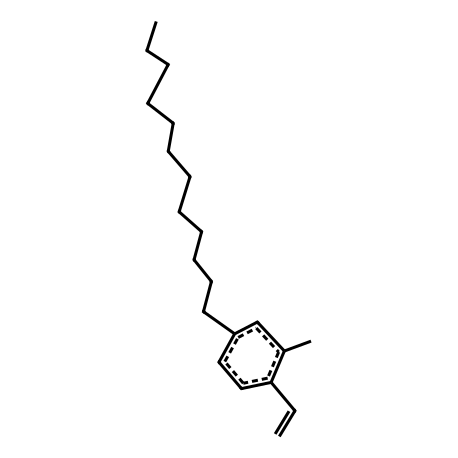 C=Cc1ccc(CCCCCCCCCCCC)cc1C